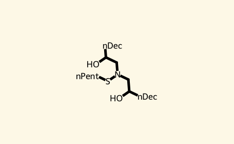 CCCCCCCCCCC(O)CN(CC(O)CCCCCCCCCC)SCCCCC